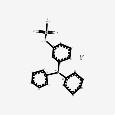 O=S(=O)([O-])Oc1cccc(P(c2ccccc2)c2ccccc2)c1.[Li+]